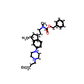 CCOC(=O)CCN1CCN(c2ccc3c(c2)[C@H](C)C[C@H]3CCN(C)C(=O)OCc2ccccc2)CC1